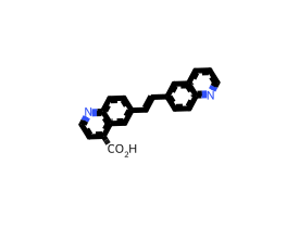 O=C(O)c1ccnc2ccc(/C=C/c3ccc4ncccc4c3)cc12